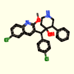 COc1nc2ccc(Cl)cc2cc1C(c1ccc(Cl)cc1)C1(O)CCNCC1c1ccccc1